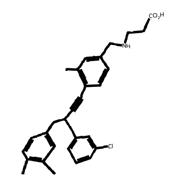 Cc1ccc(CC(C#Cc2ccc(CNCCC(=O)O)cc2C)c2cccc(Cl)c2)cc1C